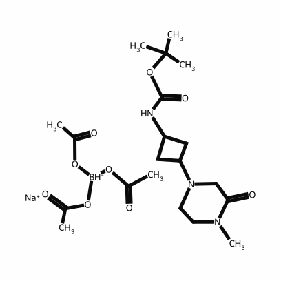 CC(=O)O[BH-](OC(C)=O)OC(C)=O.CN1CCN(C2CC(NC(=O)OC(C)(C)C)C2)CC1=O.[Na+]